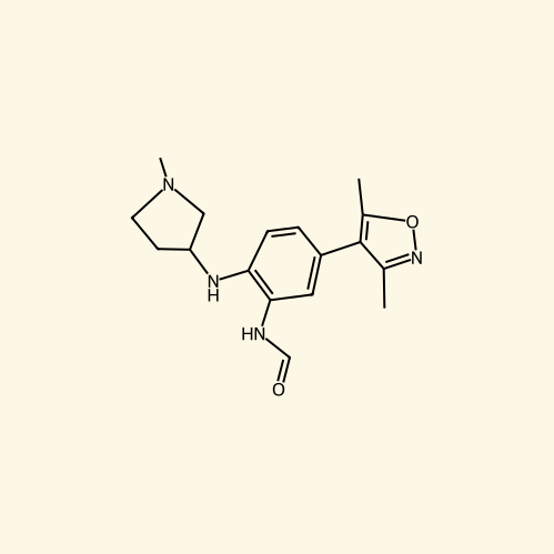 Cc1noc(C)c1-c1ccc(NC2CCN(C)C2)c(NC=O)c1